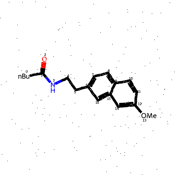 CCCCC(=O)NCCc1ccc2ccc(OC)cc2c1